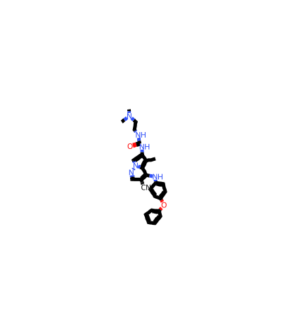 Cc1c(NC(=O)NCCN(C)C)cn2ncc(C#N)c(Nc3ccc(Oc4ccccc4)cc3)c12